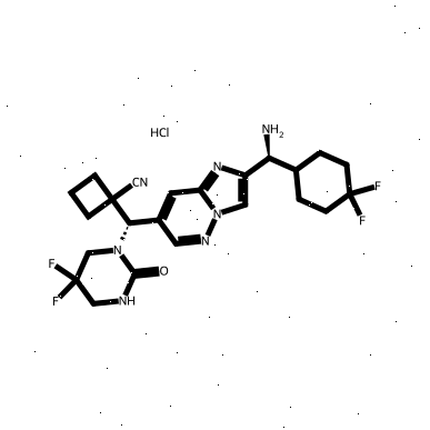 Cl.N#CC1([C@H](c2cnn3cc([C@@H](N)C4CCC(F)(F)CC4)nc3c2)N2CC(F)(F)CNC2=O)CCC1